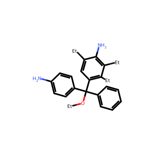 CCOC(c1ccccc1)(c1ccc(N)cc1)c1cc(CC)c(N)c(CC)c1CC